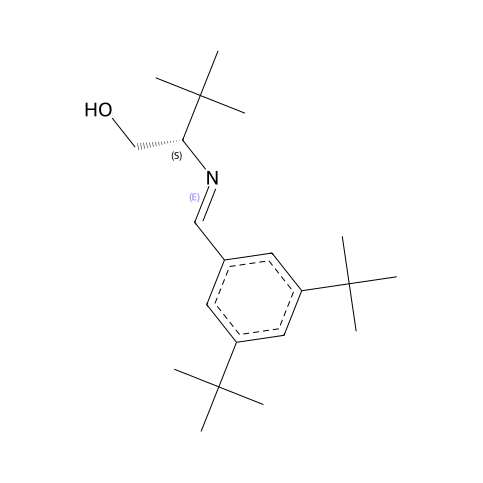 CC(C)(C)c1cc(/C=N/[C@H](CO)C(C)(C)C)cc(C(C)(C)C)c1